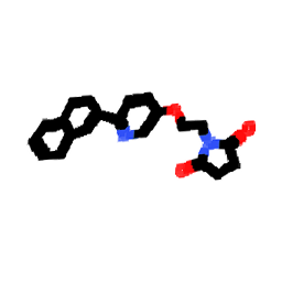 O=C1CCC(=O)N1CCOc1ccc(-c2ccc3ccccc3c2)nc1